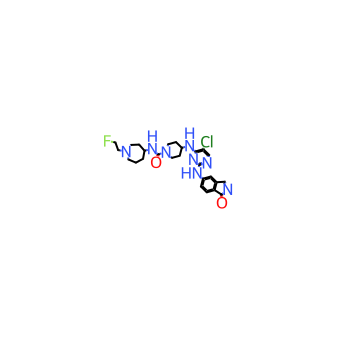 O=C1N=Cc2cc(Nc3ncc(Cl)c(NC4CCN(C(=O)NC5CCCN(CCF)CC5)CC4)n3)ccc21